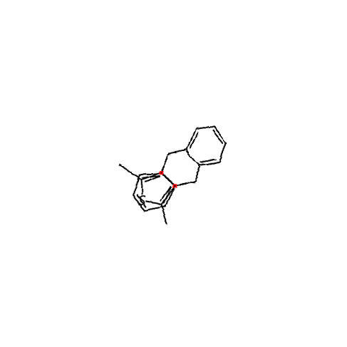 Cc1sc(C)c2c1C1c3ccccc3C2c2ccccc21